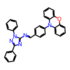 C(=N\c1nc(-c2ccccc2)nn1-c1ccccc1)/c1ccc(N2c3ccccc3Oc3ccccc32)cc1